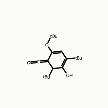 CCCCOC1=CC(C(C)(C)C)=C(O)C(C(C)(C)C)C1=C=O